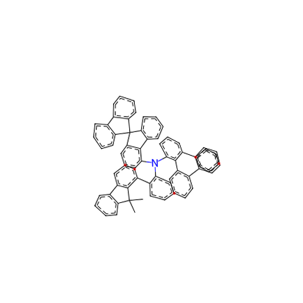 CC1(C)c2ccccc2-c2cccc(-c3ccccc3N(c3cccc(-c4ccccc4)c3-c3ccccc3-c3ccccc3)c3cccc4c3-c3ccccc3C43c4ccccc4-c4ccccc43)c21